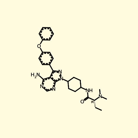 CC[C@H](C(=O)NC1CCC(n2nc(-c3ccc(Oc4ccccc4)cc3)c3c(N)ncnc32)CC1)N(C)C